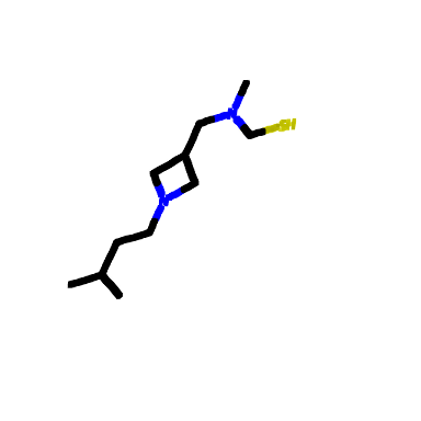 CC(C)CCN1CC(CN(C)CS)C1